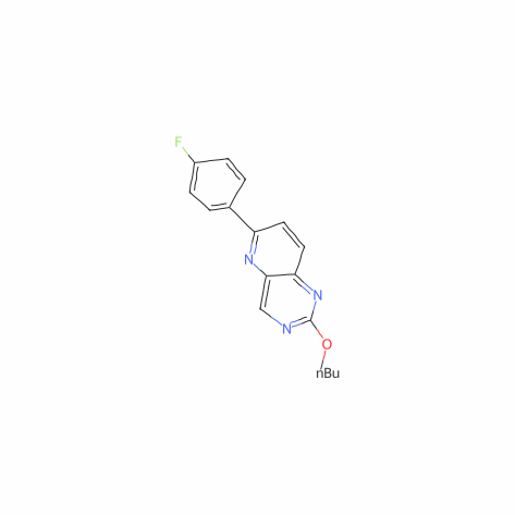 CCCCOc1ncc2nc(-c3ccc(F)cc3)ccc2n1